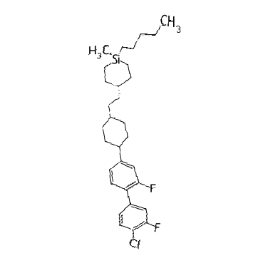 CCCCC[Si@]1(C)CC[C@H](CCC2CCC(c3ccc(-c4ccc(Cl)c(F)c4)c(F)c3)CC2)CC1